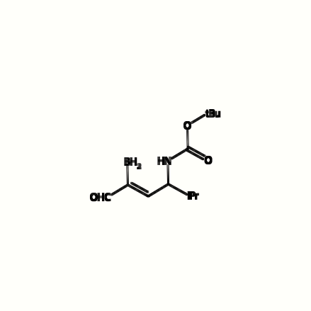 B/C(C=O)=C\C(NC(=O)OC(C)(C)C)C(C)C